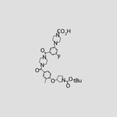 Cc1cc(C(=O)N2CCN(C(=O)c3cc(F)cc(N4CCN(C(=O)O)CC4)c3)CC2)ccc1OC1CCN(C(=O)OC(C)(C)C)C1